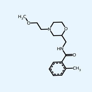 COCCN1CCOC(CNC(=O)c2ccccc2C)C1